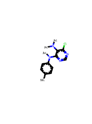 CC(=O)N(C(C)=O)c1c(Cl)ncnc1N(C(C)=O)c1ccc(C#N)cc1